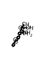 CCCN(CCCO)C(=O)C1=Cc2ccc(-c3ccc(CC(=O)OCc4ccccc4)cc3)cc2NC(N)C1